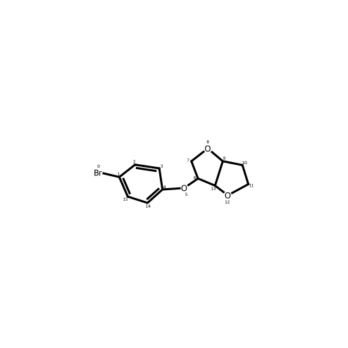 Brc1ccc(OC2COC3CCOC32)cc1